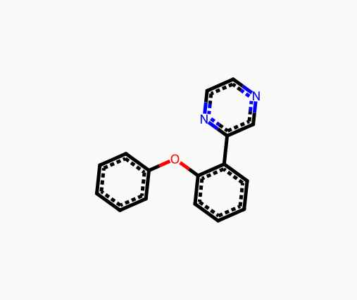 c1ccc(Oc2ccccc2-c2cnccn2)cc1